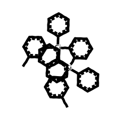 Cc1cccc([Si](c2ccccc2)(c2ccccc2)c2ccccc2[Si](c2ccccc2)(c2ccccc2)c2cccc(C)c2)c1